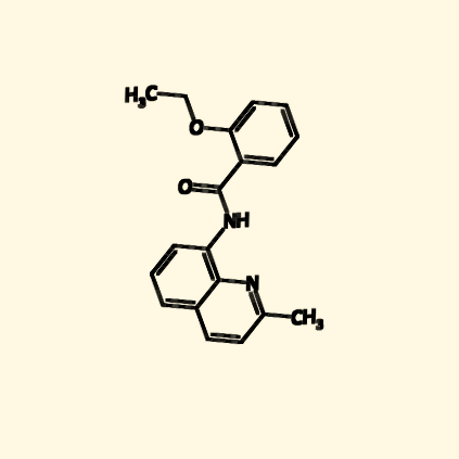 CCOc1ccccc1C(=O)Nc1cccc2ccc(C)nc12